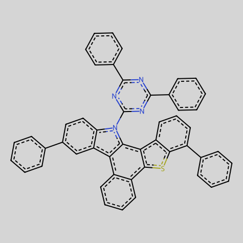 c1ccc(-c2ccc3c(c2)c2c4ccccc4c4sc5c(-c6ccccc6)cccc5c4c2n3-c2nc(-c3ccccc3)nc(-c3ccccc3)n2)cc1